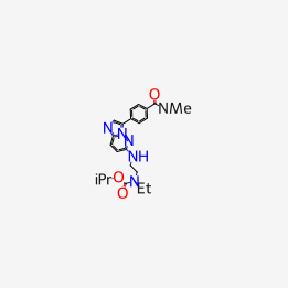 CCN(CCNc1ccc2ncc(-c3ccc(C(=O)NC)cc3)n2n1)C(=O)OC(C)C